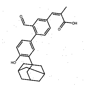 CC(=Cc1ccc(-c2ccc(O)c(C34CC5CC(CC(C5)C3)C4)c2)c(C=O)c1)C(=O)O